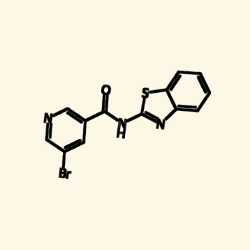 O=C(Nc1nc2ccccc2s1)c1cncc(Br)c1